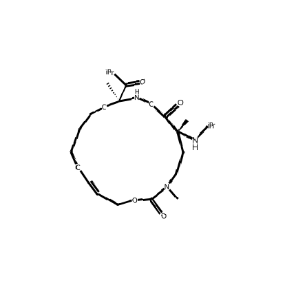 CC(C)N[C@]1(C)CCN(C)C(=O)OCC=CCCCCC[C@@](C)(C(=O)C(C)C)NCC1=O